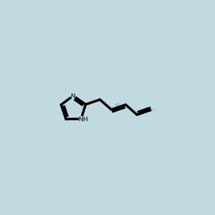 [CH]=C/C=C/Cc1ncc[nH]1